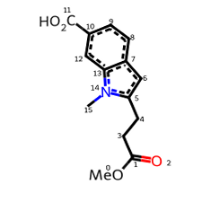 COC(=O)CCc1cc2ccc(C(=O)O)cc2n1C